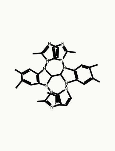 Cc1cc2c(cc1C)N(n1ccnc1C)C(C1N(n3ccnc3C)c3cc(C)c(C)cc3N1n1ccnc1C)N2n1ccnc1C